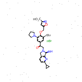 Br.CC(C)(C)c1cc(C(=O)CN2Cc3ccc(C4CC4)nc3C2=N)cc(N2CCCC2)c1OCc1cc(C(=O)O)no1